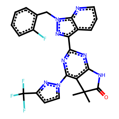 CC1(C)C(=O)Nc2nc(-c3nn(Cc4ccccc4F)c4ncccc34)nc(-n3ccc(C(F)(F)F)n3)c21